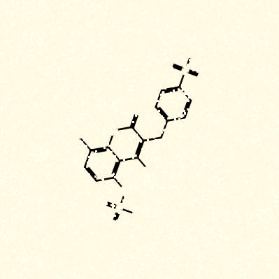 Cc1c(Cc2ccc(S(C)(=O)=O)cc2)c(=O)[nH]c2c(Cl)ccc(OS(=O)(=O)C(F)(F)F)c12